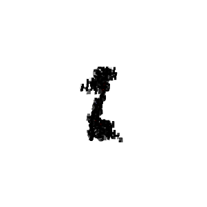 C#CCOCCOCCOCCOCCN(C)/C(=N/C)N(CCOCCNC(=O)CO[C@@H]([C@@H]1OC(C(=O)O)=C[C@H](NC(=N)N)[C@H]1NC(C)=O)[C@H](O)CO)CCOCCNC(=O)CO[C@@H]([C@@H]1OC(C(=O)O)=C[C@H](NC(=N)N)[C@H]1N1CCC1)[C@H](O)CO